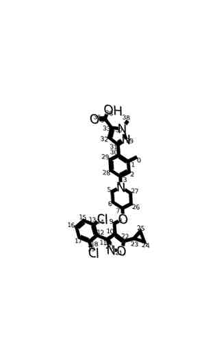 Cc1cc(N2CCC(OCc3c(-c4c(Cl)cccc4Cl)noc3C3CC3)CC2)ccc1-c1cc(C(=O)O)n(C)n1